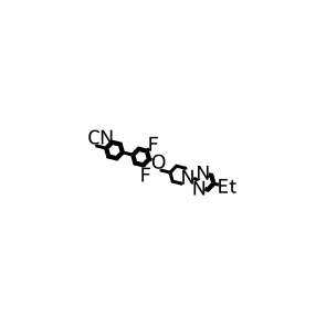 CCc1cnc(N2CCC(COc3c(F)cc(-c4ccc(CC#N)cc4)cc3F)CC2)nc1